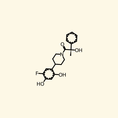 C[C@@](O)(C(=O)N1CCC(c2cc(F)c(O)cc2O)CC1)c1ccccc1